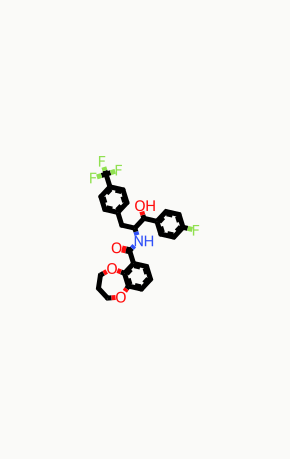 O=C(NC(Cc1ccc(C(F)(F)F)cc1)C(O)c1ccc(F)cc1)c1cccc2c1OCCCO2